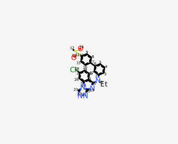 CCN(c1cccc(-c2ccc(S(C)(=O)=O)cc2)c1)c1nc2nncn2c2cc(Cl)ccc12